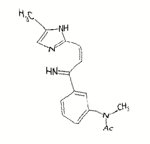 CC(=O)N(C)c1cccc(C(=N)/C=C\c2ncc(C)[nH]2)c1